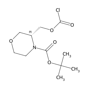 CC(C)(C)OC(=O)N1CCOC[C@@H]1COC(=O)Cl